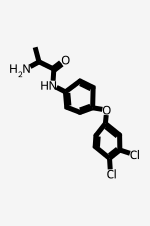 CC(N)C(=O)Nc1ccc(Oc2ccc(Cl)c(Cl)c2)cc1